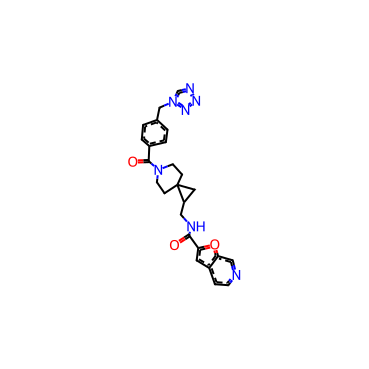 O=C(NCC1CC12CCN(C(=O)c1ccc(Cn3cnnn3)cc1)CC2)c1cc2ccncc2o1